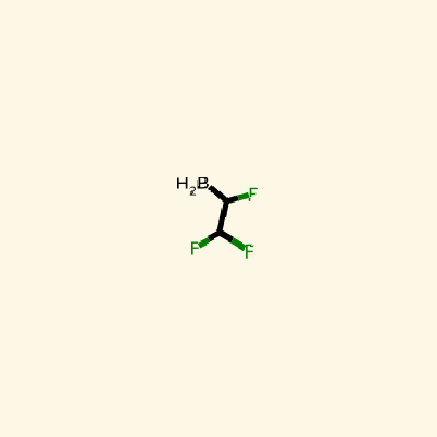 BC(F)C(F)F